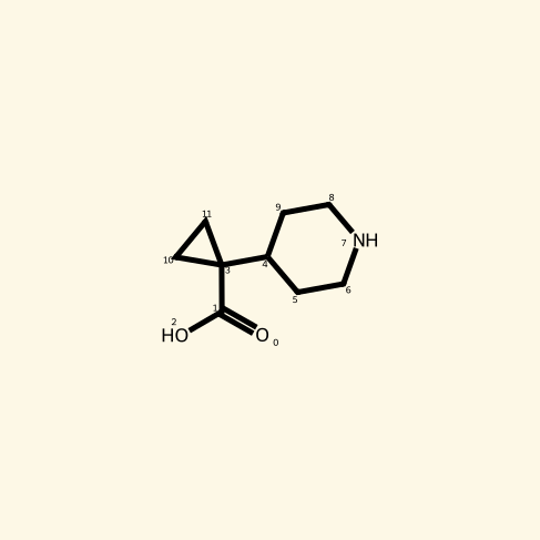 O=C(O)C1(C2CCNCC2)CC1